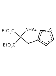 CCOC(=O)C(Cc1ccsc1)(NC(C)=O)C(=O)OCC